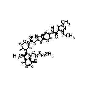 CCn1nc(C)cc1C(=O)Nc1ccc(CC(N)CC(=O)N2CCCC(c3c(C)c4cccc(F)c4n3CCCOC)C2)cc1